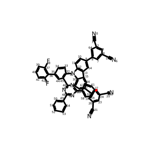 N#Cc1cc(C#N)cc(-c2ccc3c(c2)c2cc(-c4cc(C#N)cc(C#N)c4)ccc2n3-c2ccc(-c3c(F)cccc3F)cc2-c2nc(-c3ccccc3)nc(-c3ccccc3)n2)c1